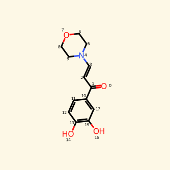 O=C(/C=C/N1CCOCC1)c1ccc(O)c(O)c1